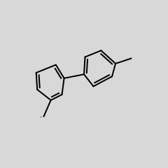 [CH2]c1cccc(-c2ccc(C)cc2)c1